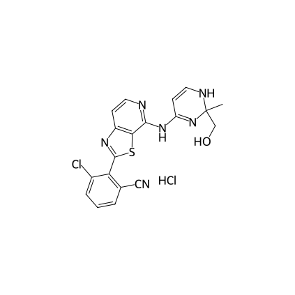 CC1(CO)N=C(Nc2nccc3nc(-c4c(Cl)cccc4C#N)sc23)C=CN1.Cl